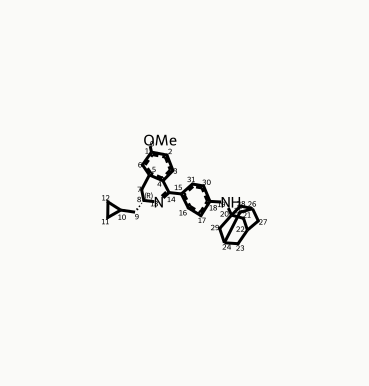 COc1ccc2c(c1)C[C@@H](CC1CC1)N=C2c1ccc(NC23CC4CC(CC(C4)C2)C3)cc1